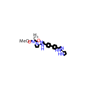 COO/C=N/[C@@H](C)C(=O)N1CCC[C@H]1c1ncc(-c2ccc(-c3ccc(-c4cnc([C@@H]5CCCN5)[nH]4)cc3)cc2)[nH]1